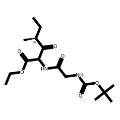 CCOC(=O)C(NC(=O)CNC(=O)OC(C)(C)C)C(=O)[C@@H](C)CC